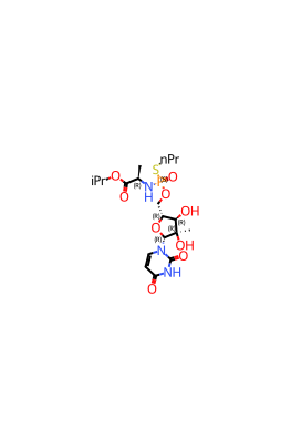 CCCS[P@](=O)(N[C@H](C)C(=O)OC(C)C)OC[C@H]1O[C@@H](n2ccc(=O)[nH]c2=O)[C@](C)(O)[C@@H]1O